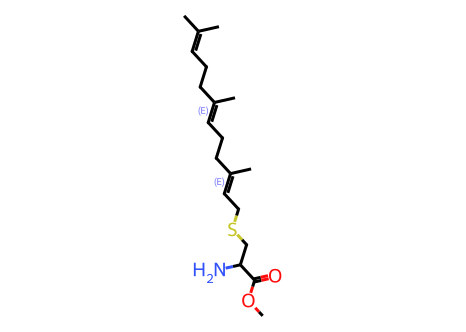 COC(=O)C(N)CSC/C=C(\C)CC/C=C(\C)CCC=C(C)C